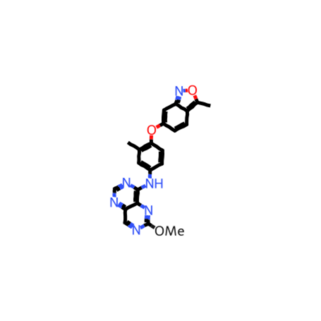 COc1ncc2ncnc(Nc3ccc(Oc4ccc5c(C)onc5c4)c(C)c3)c2n1